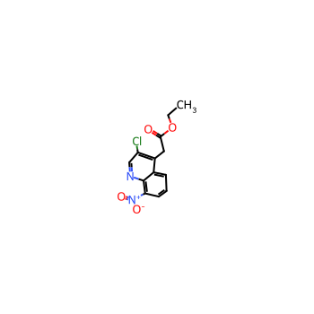 CCOC(=O)Cc1c(Cl)cnc2c([N+](=O)[O-])cccc12